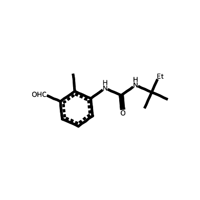 CCC(C)(C)NC(=O)Nc1cccc(C=O)c1C